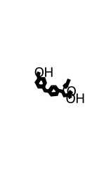 CC#C[C@@H](CC(=O)O)c1ccc(Cc2ccc(CO)cc2)cc1